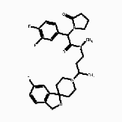 CC(CCN(C)C(=O)C(c1ccc(F)c(F)c1)N1CCCC1=O)N1CCC2(CC1)OCc1ccc(F)cc12